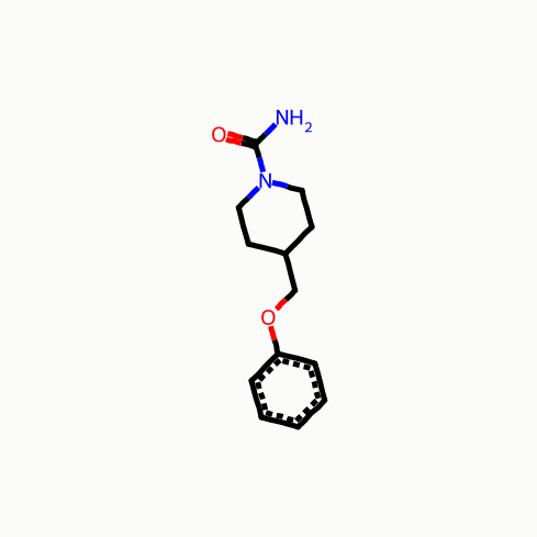 NC(=O)N1CCC(COc2ccccc2)CC1